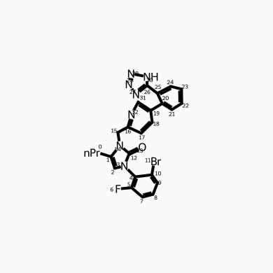 CCCc1cn(-c2c(F)cccc2Br)c(=O)n1Cc1ccc(-c2ccccc2-c2nnn[nH]2)cn1